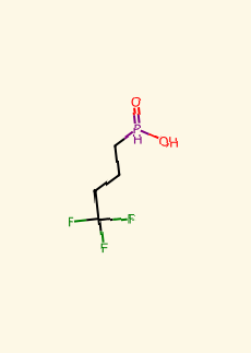 O=[PH](O)CCCC(F)(F)F